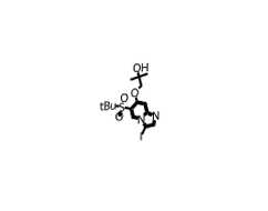 CC(C)(O)COc1cc2ncc(I)n2cc1S(=O)(=O)C(C)(C)C